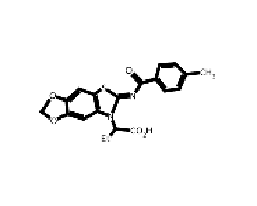 CCC(C(=O)O)n1c(=NC(=O)c2ccc(C)cc2)sc2cc3c(cc21)OCO3